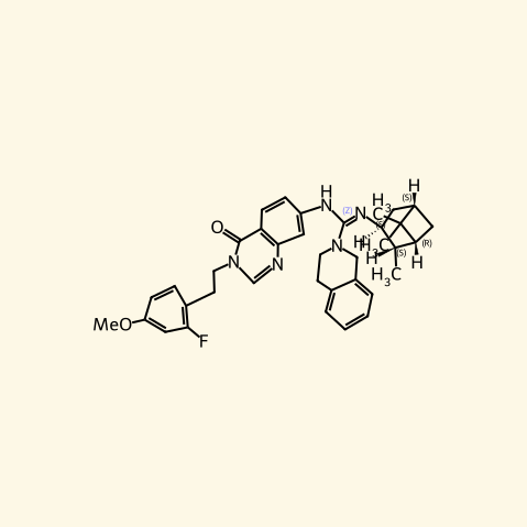 COc1ccc(CCn2cnc3cc(N/C(=N/[C@H]4C[C@@H]5C[C@H]([C@@H]4C)C5(C)C)N4CCc5ccccc5C4)ccc3c2=O)c(F)c1